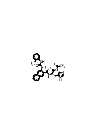 Cc1ccccc1NC(=O)Nc1cc2ccccc2cc1C(=O)N[C@@H](Cc1cnc[nH]1)C(=O)OC(=O)C(F)(F)F